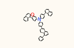 c1ccc(-c2cccc3cc(-c4ccc(N(c5ccc(-c6cccc7ccccc67)cc5)c5ccc6c(c5)oc5ccc7ccccc7c56)cc4)ccc23)cc1